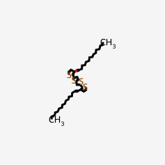 CCCCCCCCCCCCCCC#Cc1ccsc1-c1cc2sc(-c3sccc3C#CCCCCCCCCCCCCCC)cc2s1